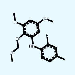 COCOc1c(OC)cc(OC)cc1Pc1ccc(C)cc1F